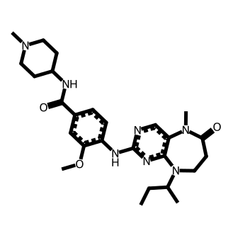 CCC(C)N1CCC(=O)N(C)c2cnc(Nc3ccc(C(=O)NC4CCN(C)CC4)cc3OC)nc21